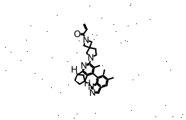 C=CC(=O)N1CC2(CCN(c3nc4c(c(-c5c(C)c(C)cc6cnn(C)c56)c3C)[C@@H]3CC[C@H]4C3)C2)C1